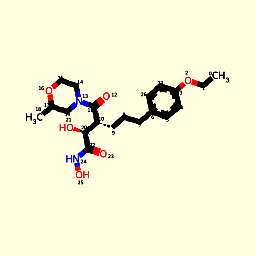 CCOc1ccc(CCC[C@@H](C(=O)N2CCOC(C)C2)[C@H](O)C(=O)NO)cc1